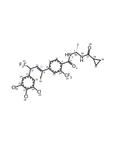 C[C@@H](NC(=O)c1ccc(/C(F)=C/C(c2cc(Cl)c(Cl)c(Cl)c2)C(F)(F)F)cc1C(F)(F)F)NC(=O)C1CC1